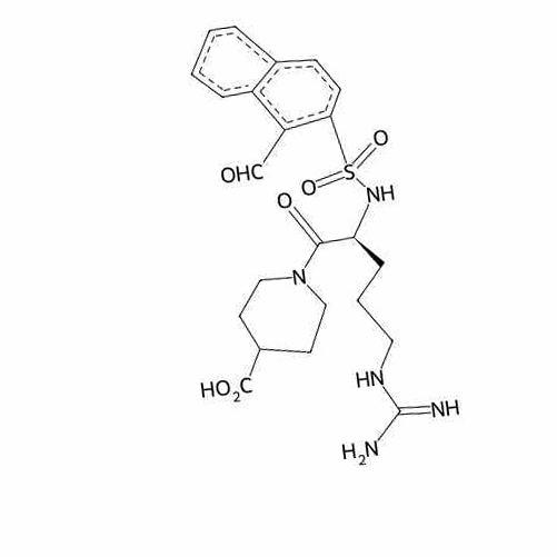 N=C(N)NCCC[C@H](NS(=O)(=O)c1ccc2ccccc2c1C=O)C(=O)N1CCC(C(=O)O)CC1